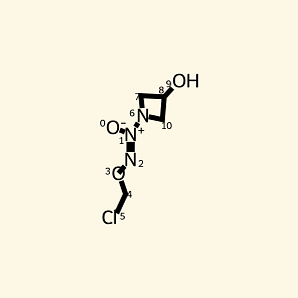 [O-]/[N+](=N\OCCl)N1CC(O)C1